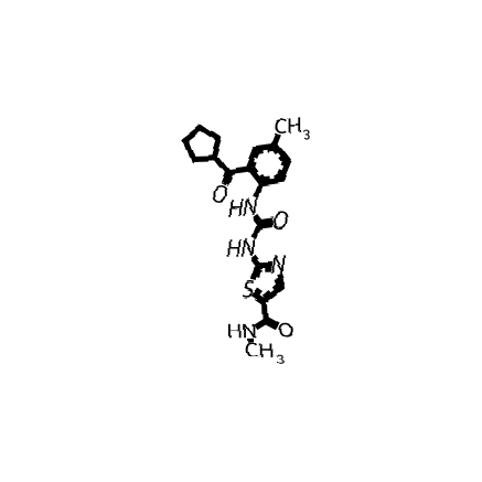 CNC(=O)c1cnc(NC(=O)Nc2ccc(C)cc2C(=O)C2CCCC2)s1